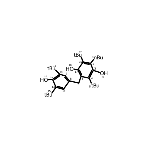 CCCCc1c(O)c(C(C)(C)C)c(Cc2cc(C(C)(C)C)c(O)c(C(C)(C)C)c2)c(O)c1C(C)(C)C